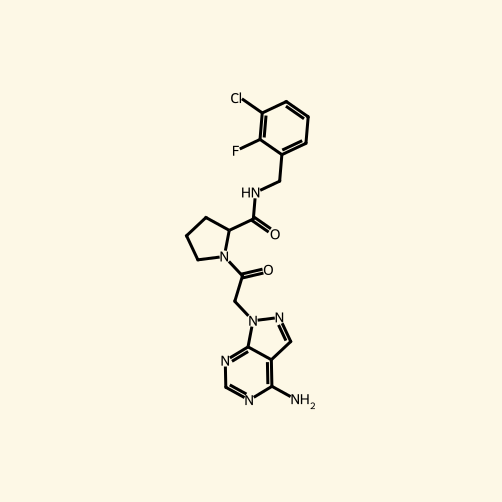 Nc1ncnc2c1cnn2CC(=O)N1CCCC1C(=O)NCc1cccc(Cl)c1F